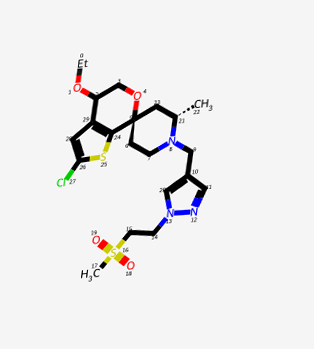 CCOC1CO[C@@]2(CCN(Cc3cnn(CCS(C)(=O)=O)c3)[C@@H](C)C2)c2sc(Cl)cc21